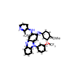 COc1ncccc1Nc1cc2nc3ccccc3n(-c3cccc(OC(F)(F)F)c3)c-2c/c1=N\C1CCC(OC)CC1